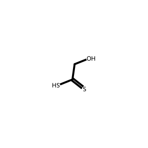 OCC(=S)S